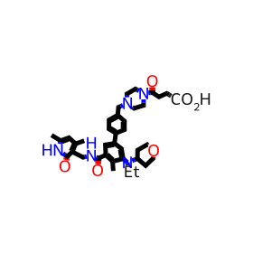 CCN(c1cc(-c2ccc(CN3CCN(C(=O)CCC(=O)O)CC3)cc2)cc(C(=O)NCc2c(C)cc(C)[nH]c2=O)c1C)C1CCOCC1